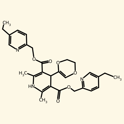 CCc1ccc(COC(=O)C2=C(C)NC(C)=C(C(=O)OCc3ccc(CC)cn3)C2C2=COCCO2)nc1